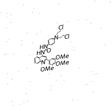 COc1cc(-c2cc(NC(=O)Nc3ccc(N(CCCl)CCCl)cc3)c3ccccc3n2)cc(OC)c1OC